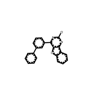 Clc1nc(-c2cccc(-c3ccccc3)c2)c2oc3ccccc3c2n1